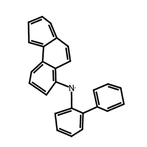 c1ccc(-c2ccccc2[N]c2cccc3c2ccc2ccccc23)cc1